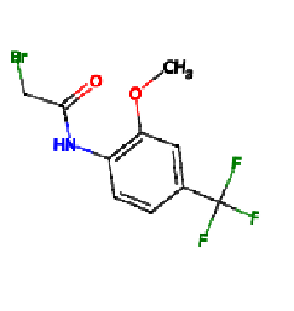 COc1cc(C(F)(F)F)ccc1NC(=O)CBr